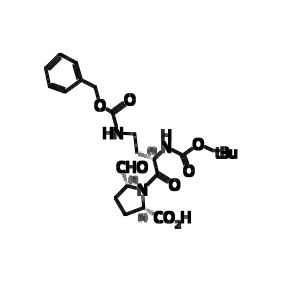 CC(C)(C)OC(=O)N[C@@H](CCNC(=O)OCc1ccccc1)C(=O)N1[C@@H](C=O)CC[C@H]1C(=O)O